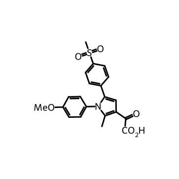 COc1ccc(-n2c(-c3ccc(S(C)(=O)=O)cc3)cc(C(=O)C(=O)O)c2C)cc1